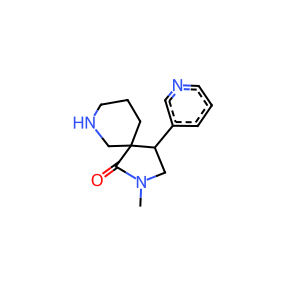 CN1CC(c2cccnc2)C2(CCCNC2)C1=O